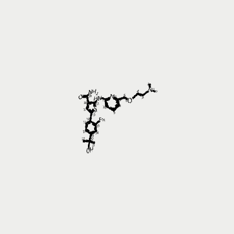 CN(C)CCOCc1cccc(Nc2sc(-c3ccc(C(C)(C)O)cc3F)cc2C(N)=O)n1